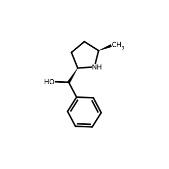 C[C@@H]1CC[C@H](C(O)c2ccccc2)N1